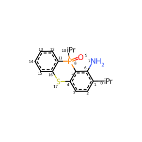 CC(C)c1ccc2c(c1N)P(=O)(C(C)C)c1ccccc1S2